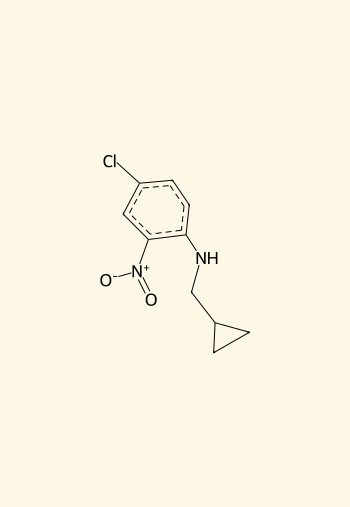 O=[N+]([O-])c1cc(Cl)ccc1NCC1CC1